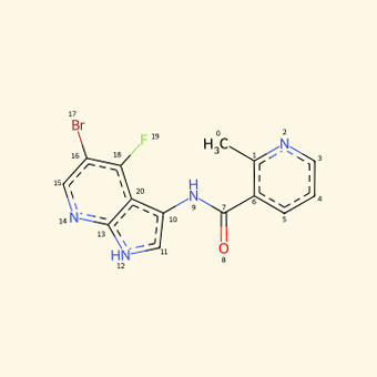 Cc1ncccc1C(=O)Nc1c[nH]c2ncc(Br)c(F)c12